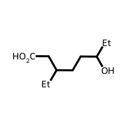 CCC(O)CCC(CC)CC(=O)O